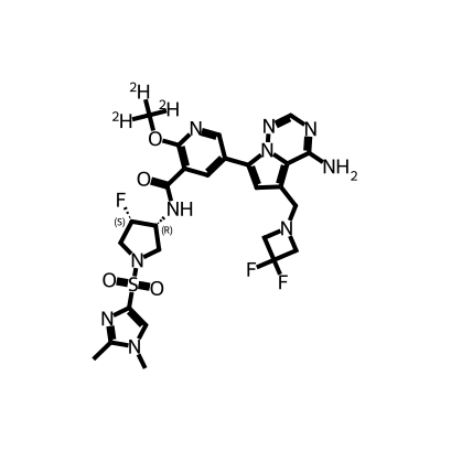 [2H]C([2H])([2H])Oc1ncc(-c2cc(CN3CC(F)(F)C3)c3c(N)ncnn23)cc1C(=O)N[C@@H]1CN(S(=O)(=O)c2cn(C)c(C)n2)C[C@@H]1F